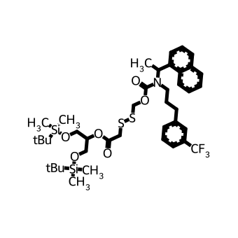 CC(c1cccc2ccccc12)N(CCCc1cccc(C(F)(F)F)c1)C(=O)OCSSCC(=O)OC(CO[Si](C)(C)C(C)(C)C)CO[Si](C)(C)C(C)(C)C